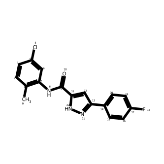 Cc1ccc(Cl)cc1NC(=O)c1cc(-c2ccc(F)cc2)n[nH]1